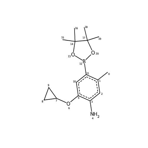 Cc1cc(N)c(OC2CC2)cc1B1OC(C)(C)C(C)(C)O1